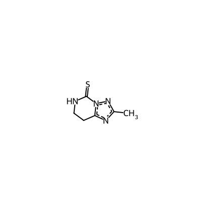 Cc1nc2n(n1)C(=S)NCC2